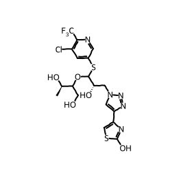 C[C@@H](O)C(CO)OC(Sc1cnc(C(F)(F)F)c(Cl)c1)[C@@H](O)Cn1cc(-c2csc(O)n2)nn1